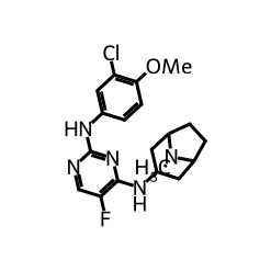 COc1ccc(Nc2ncc(F)c(NC3CC4CCC(C3)N4C)n2)cc1Cl